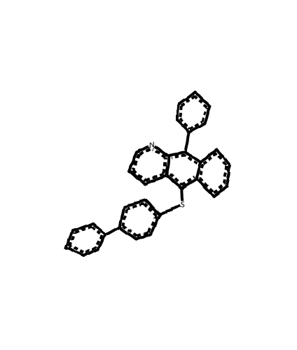 c1ccc(-c2ccc(Sc3c4ccccc4c(-c4ccccc4)c4ncccc34)cc2)cc1